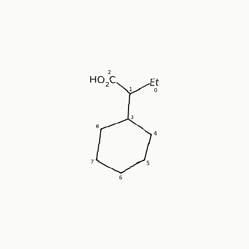 CCC(C(=O)O)C1CCCCC1